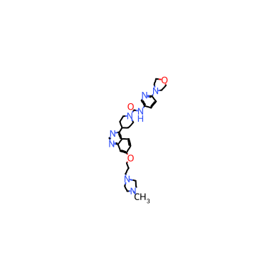 CN1CCN(CCCOc2ccc3c(C4CCN(C(=O)Nc5ccc(N6CCOCC6)nc5)CC4)ncnc3c2)CC1